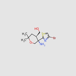 CC1(C)C[C@@H](CO)[C@](N)(c2nc(Br)cs2)CO1